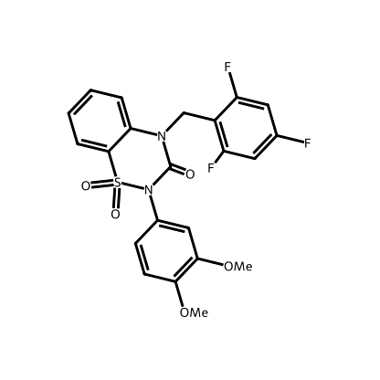 COc1ccc(N2C(=O)N(Cc3c(F)cc(F)cc3F)c3ccccc3S2(=O)=O)cc1OC